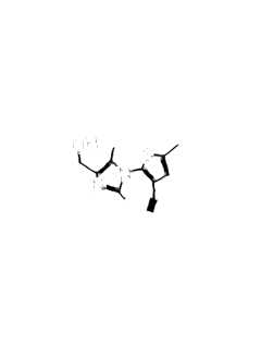 C#Cc1cc(C)sc1-n1c(C)nc(CO)c1C